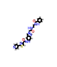 O=C(Cn1cc2cc(NC(=O)c3csc(-c4ccncc4)n3)ccc2n1)NCCNC(=O)c1ccccc1